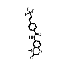 CN1C(=O)COc2ccc(NC(=O)c3ccc(/C=C/C(F)(F)F)cc3)cc21